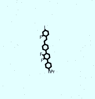 CCCC1CCC(C2CCC(C3CCC(CCC4CCC(I)CC4F)CC3)C(F)C2F)CC1